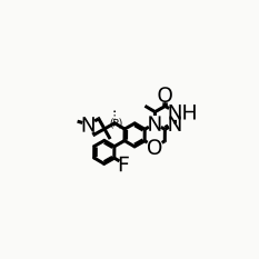 CC1C(=O)NN=C2COc3cc(-c4ccccc4F)c([C@@H](C)C4(C)CN(C)C4)cc3N21